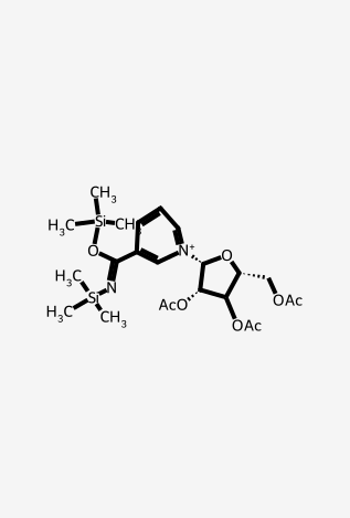 CC(=O)OC[C@H]1O[C@@H]([n+]2cccc(/C(=N/[Si](C)(C)C)O[Si](C)(C)C)c2)[C@@H](OC(C)=O)C1OC(C)=O